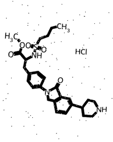 CCCCS(=O)(=O)NC(Cc1ccc(N2Cc3ccc(C4CCNCC4)cc3C2=O)cc1)C(=O)OC.Cl